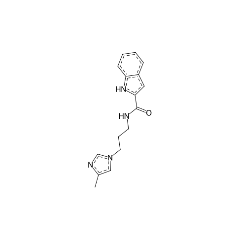 Cc1cn(CCCNC(=O)c2cc3ccccc3[nH]2)cn1